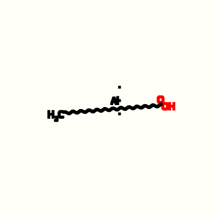 CCCCCCCCCCCCCCCCCCCCCCCCCC(=O)O.[Al]